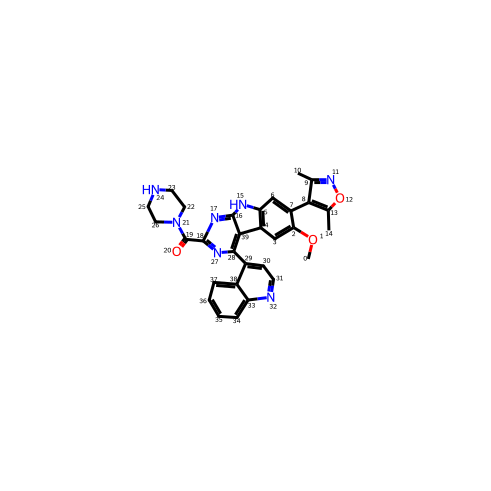 COc1cc2c(cc1-c1c(C)noc1C)[nH]c1nc(C(=O)N3CCNCC3)nc(-c3ccnc4ccccc34)c12